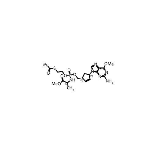 COC(=O)[C@H](C)NP(=O)(OCCSC(=O)C(C)C)OC[C@@H]1C=C[C@H](n2cnc3c(OC)nc(N)nc32)C1